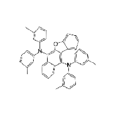 Cc1cccc(N(c2cccc(C)c2)c2c3ccccc3c(N(c3cccc(C)c3)c3cccc(C)c3)c3c2oc2ccccc23)c1